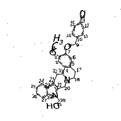 COc1cc2c(cc1OCc1ccc(Cl)cc1)CCN1Cc3c(c4ccccc4n3CO)CC21